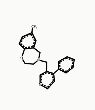 FC(F)(F)c1ccc2c(c1)CN(Cc1cnccc1-c1ccccc1)CCO2